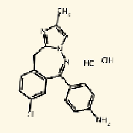 Cc1cn2c(n1)Cc1ccc(Cl)cc1C(c1ccc(N)cc1)=N2.Cl.Cl